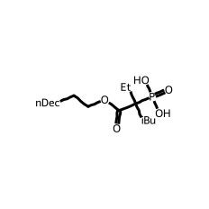 CCCCCCCCCCCCOC(=O)C(CC)(C(C)CC)P(=O)(O)O